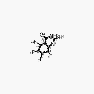 [2H]c1nc2c(F)c(F)c(F)c(F)c2c(=O)[nH]1